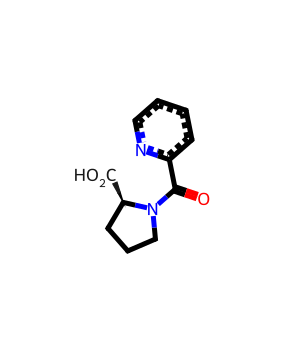 O=C(O)[C@@H]1CCCN1C(=O)c1ccccn1